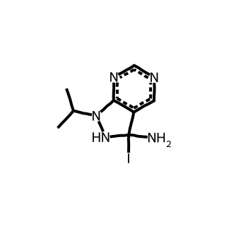 CC(C)N1NC(N)(I)c2cncnc21